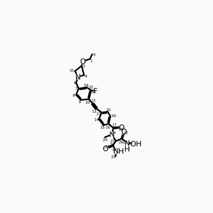 CCOC1CN(Cc2ccc(C#Cc3ccc(C(=O)N(C)C(C(=O)NC)C(=O)NO)cc3)c(F)c2)C1